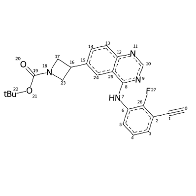 C#Cc1cccc(Nc2ncnc3ccc(C4CN(C(=O)OC(C)(C)C)C4)cc23)c1F